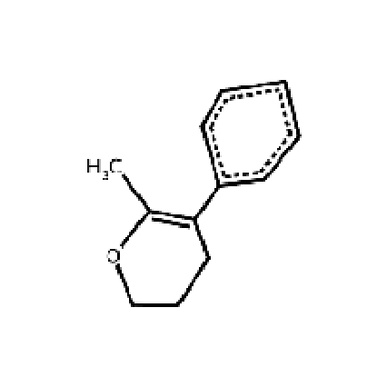 CC1=C(c2ccccc2)CCCO1